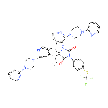 CC(c1ccnc(N2CCN(c3ccccn3)CC2)c1)C1(C(C)c2ccnc(N3CCN(c4ccccn4)CC3)c2)NC(=O)N(c2ccc(SC(F)(F)F)cc2)C1=O